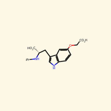 CC(C)N[C@@H](Cc1c[nH]c2ccc(OCC(=O)O)cc12)C(=O)O